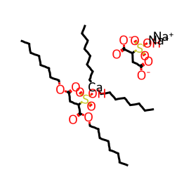 CCCCCCCCOC(=O)CC(C(=O)OCCCCCCCC)S(=O)(=O)O.CCCCCCC[CH2][Ca][CH2]CCCCCCC.O=C([O-])CC(C(=O)[O-])S(=O)(=O)O.[Na+].[Na+]